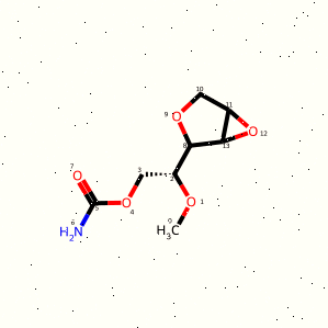 CO[C@H](COC(N)=O)C1OCC2OC21